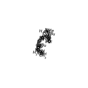 CNC(C)C(=O)NC(C(=O)N1C[C@@H](Oc2cnc(N3CCN(CCOc4cc5ncnc(Nc6n[nH]c(C)c6C)c5cc4S(=O)(=O)C(C)(C)C)CC3)nc2)C[C@H]1C(=O)Nc1c(F)cccc1F)C(C)(C)C